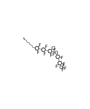 C=CCCCCCCc1cc(F)c(-c2cc(F)c(-c3cc(F)c(C(F)(F)Oc4ccc(-c5cc(F)c(OC(F)(F)F)c(F)c5)c(F)c4)c(Cl)c3)c(F)c2)c(F)c1